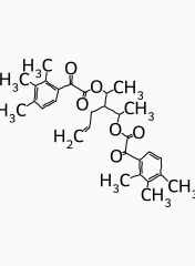 C=CCC(C(C)OC(=O)C(=O)c1ccc(C)c(C)c1C)C(C)OC(=O)C(=O)c1ccc(C)c(C)c1C